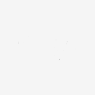 CC1=C[C@H]2c3c(O)cc(CCCC(=O)O)cc3OC(C)[C@@H]2CC1